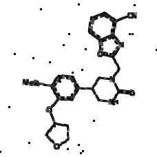 COc1ccc(C2CNC(=O)N(Cc3nc4c(C#N)cccc4o3)C2)cc1OC1CCOC1